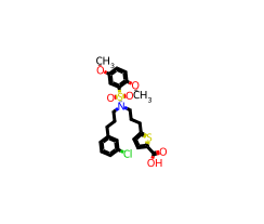 COc1ccc(OC)c(S(=O)(=O)N(CCCc2cccc(Cl)c2)CCCc2ccc(C(=O)O)s2)c1